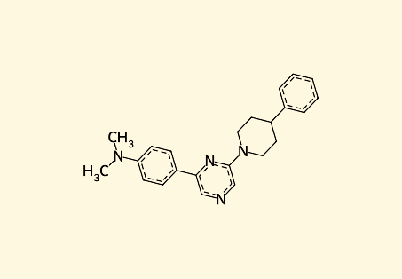 CN(C)c1ccc(-c2cncc(N3CCC(c4ccccc4)CC3)n2)cc1